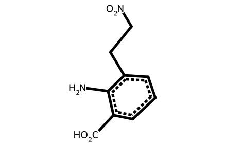 Nc1c(CC[N+](=O)[O-])cccc1C(=O)O